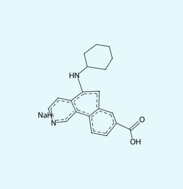 O=C(O)c1ccc2c(c1)cc(NC1CCCCC1)c1ccncc12.[NaH]